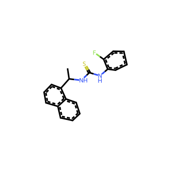 CC(NC(=S)Nc1ccccc1F)c1cccc2ccccc12